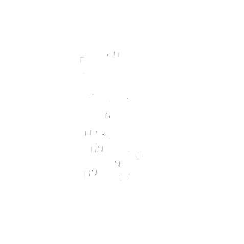 Cc1cc(C2=NC([C@]3(C)CC(=O)N(C)C(=N)N3)CC=C2)ccc1F